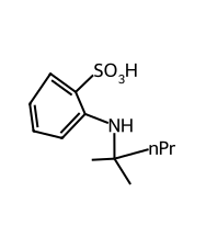 CCCC(C)(C)Nc1ccccc1S(=O)(=O)O